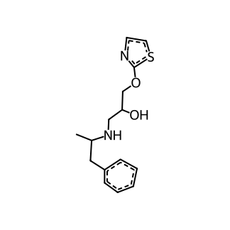 CC(Cc1ccccc1)NCC(O)COc1nccs1